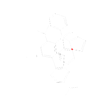 CN(C)c1ccc2c(c1)Cc1c-2ccc(N(C)C)[c]1[Zr](=[SiH2])([C]1=CC=CC1)([c]1ccccc1)[c]1ccccc1.Cl.Cl